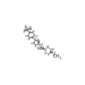 CCN1CCC(NCc2ccc(-c3ccc(C(F)(F)F)cc3)s2)CC1